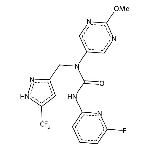 COc1ncc(N(Cc2cc(C(F)(F)F)[nH]n2)C(=O)Nc2cccc(F)n2)cn1